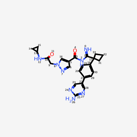 N=C(NC(=O)c1cnn(CC(=O)NC2CC2)c1)C1(c2ccc(-c3cnc(N)nc3)cc2)CCC1